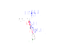 CNC(=O)[C@H](CCCCNC(=N)N)NC(=O)c1csc([C@@H]2C[C@@H](N)CN2C(=O)C2=CC3C=C(Cl)C=CC3S2)n1